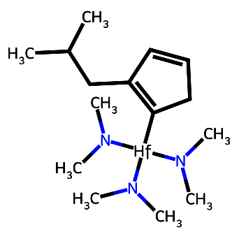 CC(C)CC1=[C]([Hf]([N](C)C)([N](C)C)[N](C)C)CC=C1